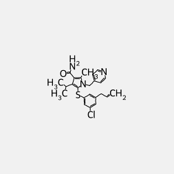 C=CCc1cc(Cl)cc(Sc2c(C(C)C)c(C(N)=O)c(C)n2Cc2ccncc2)c1